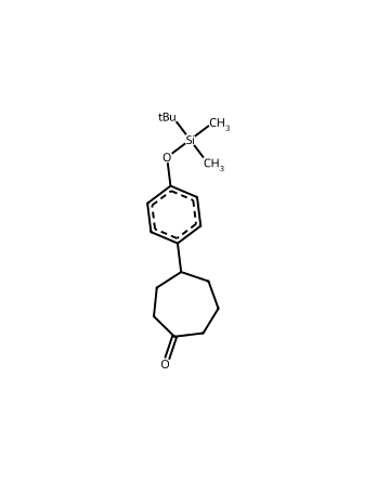 CC(C)(C)[Si](C)(C)Oc1ccc(C2CCCC(=O)CC2)cc1